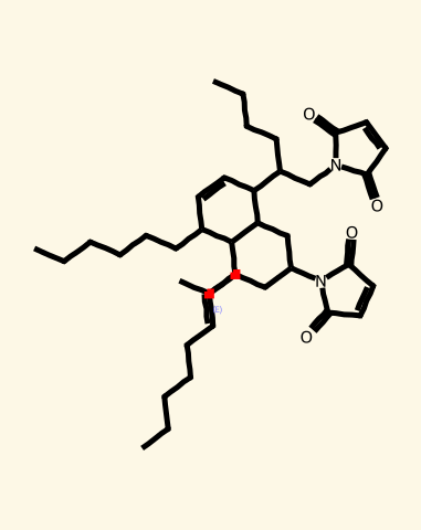 CCCCC/C=C/CC1C(CCCCCC)C=CC(C(CCCC)CN2C(=O)C=CC2=O)C1CC(CCCC)N1C(=O)C=CC1=O